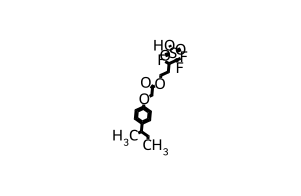 CCC(C)c1ccc(OCC(=O)OCCC(F)C(F)(F)S(=O)(=O)O)cc1